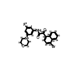 O=C(Nc1cc(F)cc(N2CCOCC2)c1)C(=O)c1ccc(Br)c2ccccc12